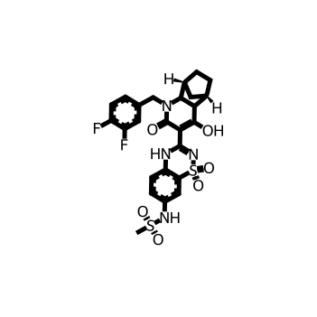 CS(=O)(=O)Nc1ccc2c(c1)S(=O)(=O)N=C(C1=C(O)C3C([C@@H]4CC[C@H]3C4)N(Cc3ccc(F)c(F)c3)C1=O)N2